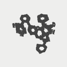 O=c1[nH]c2nc(C3CCCCC3)n(Cc3ccc(-c4ccccc4-c4nnn[nH]4)cc3)c2c(=O)n1-c1ccccc1